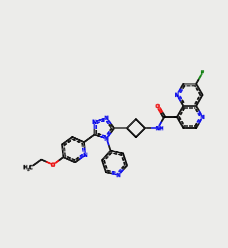 CCOc1ccc(-c2nnc(C3CC(NC(=O)c4ccnc5cc(F)cnc45)C3)n2-c2ccncc2)nc1